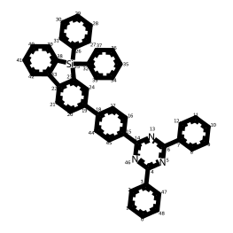 c1ccc(-c2nc(-c3ccccc3)nc(-c3ccc(-c4ccc5c(c4)[Si](c4ccccc4)(c4ccccc4)c4ccccc4-5)cc3)n2)cc1